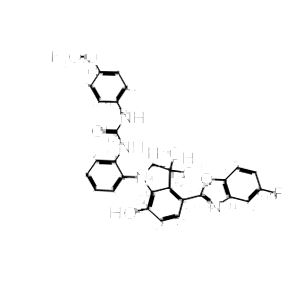 CC1(C)CN(c2ccccc2NC(=O)Nc2ccc(OC(F)(F)F)cc2)c2c(O)ccc(-c3nc4cc(F)ccc4o3)c21